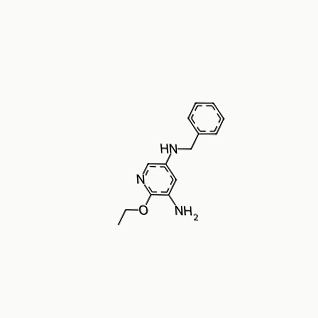 CCOc1ncc(NCc2ccccc2)cc1N